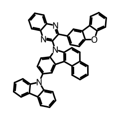 c1ccc2c(c1)ccc1c2c2cc(-n3c4ccccc4c4ccccc43)ccc2n1-c1nc2ccccc2nc1-c1ccc2oc3ccccc3c2c1